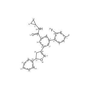 Cc1ccc(-c2cc(C(=O)NC3CC3)cc(C3=NOC(c4ccccn4)C3)c2)c(F)c1